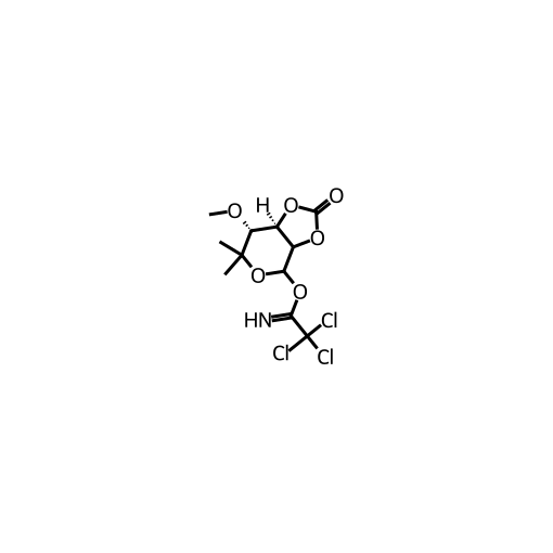 CO[C@@H]1[C@H]2OC(=O)OC2C(OC(=N)C(Cl)(Cl)Cl)OC1(C)C